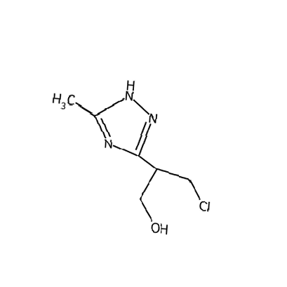 Cc1nc(C(CO)CCl)n[nH]1